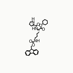 O=C(NCCCC[C@H](NC(=O)[C@H]1CCCN1)C(=O)OC1CCCCC1)OCC1c2ccccc2-c2ccccc21